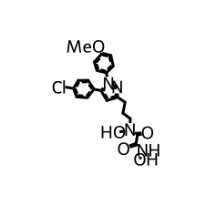 COc1ccc(-n2nc(CCCN(O)C(=O)C(=O)NO)cc2-c2ccc(Cl)cc2)cc1